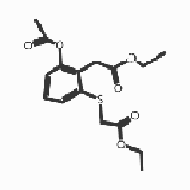 CCOC(=O)CSc1cccc(OC(C)=O)c1CC(=O)OCC